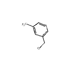 FC(F)(F)c1c[c]cc(CCl)c1